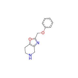 c1ccc(OCc2nc3c(o2)CCNC3)cc1